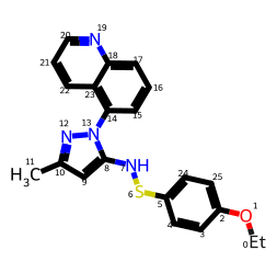 CCOc1ccc(SNc2cc(C)nn2-c2cccc3ncccc23)cc1